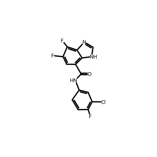 O=C(Nc1ccc(F)c(Cl)c1)c1cc(F)c(F)c2nc[nH]c12